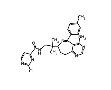 Cc1ccc(C2=NC(C(C)(C)CNC(=O)c3ccnc(Cl)n3)CCc3ncnc(N)c32)cc1